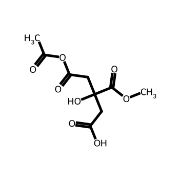 COC(=O)C(O)(CC(=O)O)CC(=O)OC(C)=O